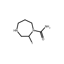 NC(=O)N1CCCNCC1I